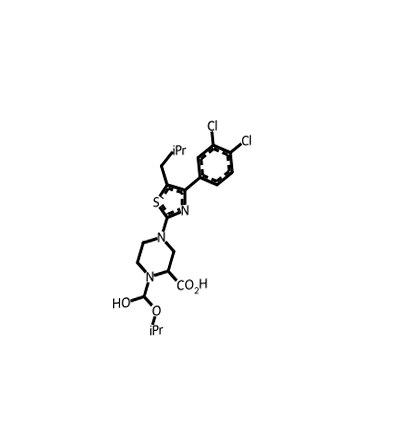 CC(C)Cc1sc(N2CCN(C(O)OC(C)C)C(C(=O)O)C2)nc1-c1ccc(Cl)c(Cl)c1